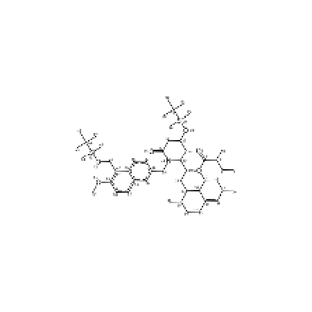 CCC(C)C(=O)OC1CC(C)C=C2C=CC(C)C(CCC3CC(O[Si](C)(C)C(C)(C)C)CC(=O)N3Cc3ccc4c(CO[Si](C)(C)C(C)(C)C)c(OC)ccc4c3)C21